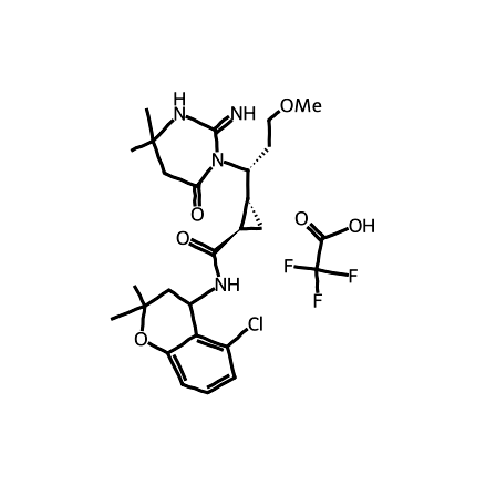 COCC[C@H]([C@@H]1C[C@H]1C(=O)NC1CC(C)(C)Oc2cccc(Cl)c21)N1C(=N)NC(C)(C)CC1=O.O=C(O)C(F)(F)F